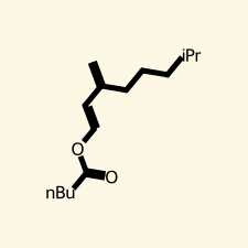 C=C(C=COC(=O)CCCC)CCCC(C)C